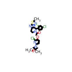 COC1(C)CN(c2ccc(OCC(=O)N3CCc4nc5sc(C)nn5c4C3c3ccc(Cl)cc3F)c(Cl)n2)C1